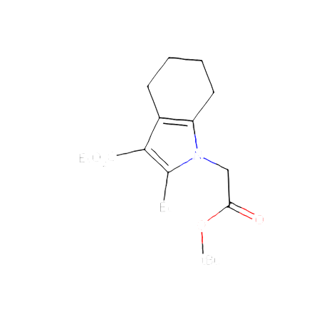 CCOC(=O)c1c2c(n(CC(=O)OC(C)(C)C)c1CC)CCCC2